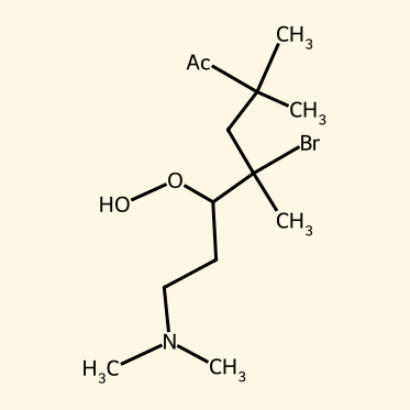 CC(=O)C(C)(C)CC(C)(Br)C(CCN(C)C)OO